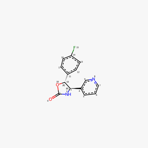 O=C1N[C@H](c2cccnc2)[C@@H](c2ccc(F)cc2)O1